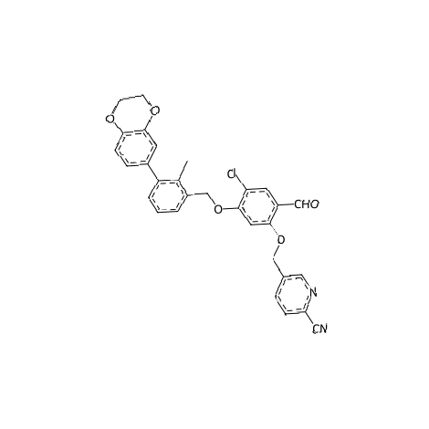 Cc1c(COc2cc(OCc3ccc(C#N)nc3)c(C=O)cc2Cl)cccc1-c1ccc2c(c1)OCCO2